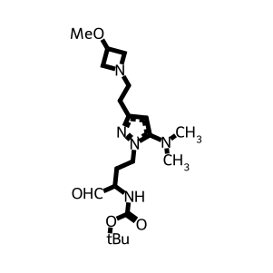 COC1CN(CCc2cc(N(C)C)n(CCC(C=O)NC(=O)OC(C)(C)C)n2)C1